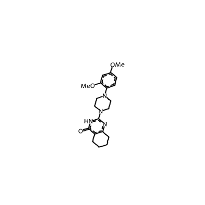 COc1ccc(N2CCN(c3nc4c(c(=O)[nH]3)CCCC4)CC2)c(OC)c1